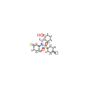 CC(c1ccccc1O)N(c1cc(F)ccc1F)S(=O)(=O)c1ccc(Cl)cc1